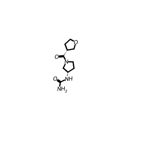 NC(=O)N[C@H]1CCN(C(=O)[C@@H]2CCOC2)C1